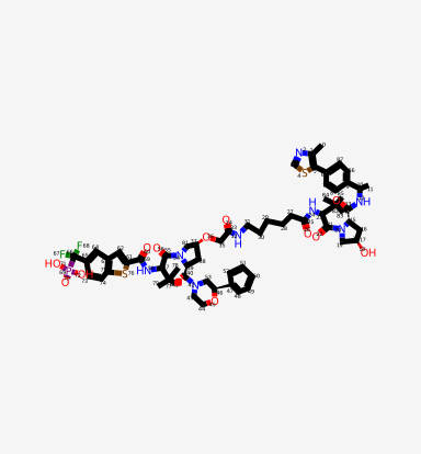 Cc1ncsc1-c1ccc(C(C)NC(=O)[C@@H]2C[C@@H](O)CN2C(=O)C(NC(=O)CCCCCNC(=O)CO[C@H]2C[C@@H](C(=O)N3CCO[C@H](c4ccccc4)C3)N(C(=O)C(NC(=O)c3cc4cc(C(F)(F)P(=O)(O)O)ccc4s3)C(C)(C)C)C2)C(C)(C)C)cc1